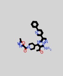 CC(=O)c1c(C2CCN(C(=O)c3nnc(C)o3)CC2)nc2c(-c3ccc(-c4ccccc4)nc3)cnn2c1N